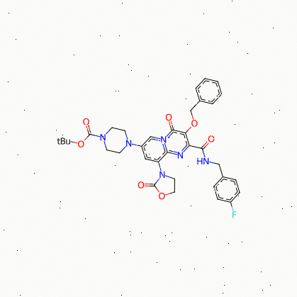 CC(C)(C)OC(=O)N1CCN(c2cc(N3CCOC3=O)c3nc(C(=O)NCc4ccc(F)cc4)c(OCc4ccccc4)c(=O)n3c2)CC1